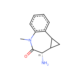 CN1C(=O)[C@@H](N)C2CC2c2ccccc21